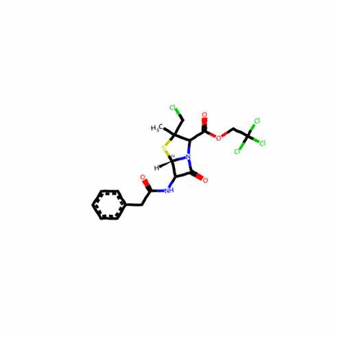 CC1(CCl)S[C@H]2C(NC(=O)Cc3ccccc3)C(=O)N2C1C(=O)OCC(Cl)(Cl)Cl